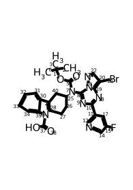 CC(C)(C)OC(=O)N(c1nc(-c2cncc(F)c2)nc2c(Br)cnn12)[C@@H]1CCc2c(c3ccccc3n2C(=O)O)C1